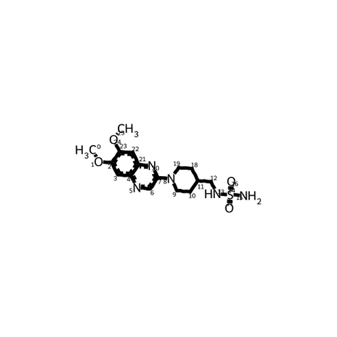 COc1cc2ncc(N3CCC(CNS(N)(=O)=O)CC3)nc2cc1OC